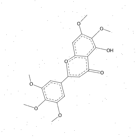 COc1cc(-c2cc(=O)c3c(O)c(OC)c(OC)cc3o2)cc(OC)c1OC